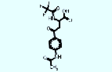 CC(=O)Nc1ccc(C(=O)CC(NC(=O)C(F)(F)F)C(=O)O)cc1